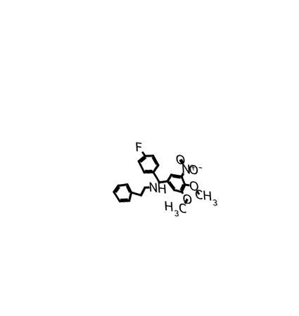 COc1cc(C(NCCc2ccccc2)c2ccc(F)cc2)cc([N+](=O)[O-])c1OC